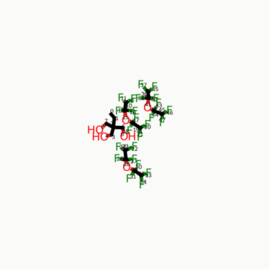 CCC(CO)(CO)CO.FC(F)C(F)(F)OC(F)(F)C(F)F.FC(F)C(F)(F)OC(F)(F)C(F)F.FC(F)C(F)(F)OC(F)(F)C(F)F